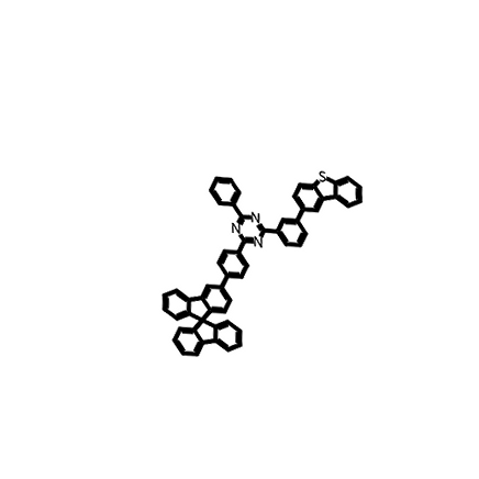 c1ccc(-c2nc(-c3ccc(-c4ccc5c(c4)-c4ccccc4C54c5ccccc5-c5ccccc54)cc3)nc(-c3cccc(-c4ccc5sc6ccccc6c5c4)c3)n2)cc1